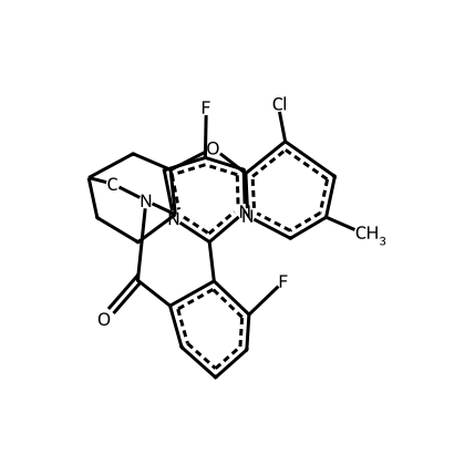 Cc1cnc(OC2CC3CCC2N(C(=O)c2cccc(F)c2-c2ncc(F)cn2)C3)c(Cl)c1